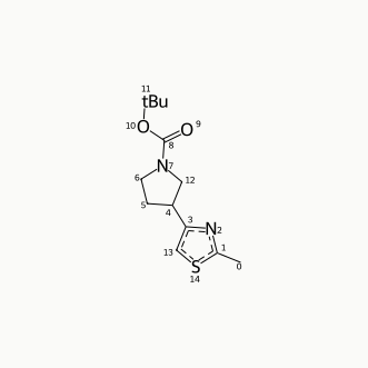 Cc1nc(C2CCN(C(=O)OC(C)(C)C)C2)cs1